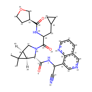 CC1(C)[C@@H]2[C@@H](C(=O)NC(C#N)c3cncc4cccnc34)N(C(=O)C(CC3CC3)NC(=O)[C@H]3CCOC3)C[C@@H]21